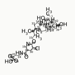 CC[C@H]1[C@@H](O)[C@@H]2[C@H](CC[C@]3(C)[C@@H]([C@H](C)CCOc4ncc(C(=O)NCCS(=O)(=O)O)cc4Cl)CC[C@@H]23)[C@@]2(C)CC[C@@H](O)C[C@@H]12